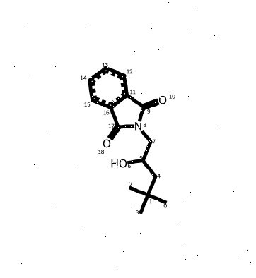 CC(C)(C)CC(O)CN1C(=O)c2ccccc2C1=O